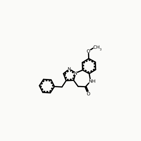 COc1ccc2c(c1)-n1ncc(Cc3ccccc3)c1CC(=O)N2